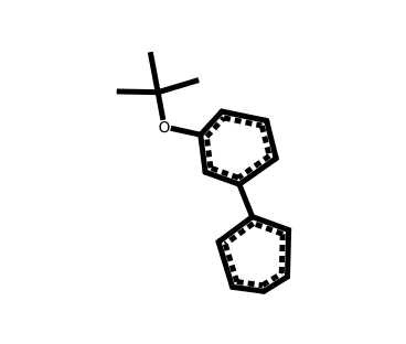 CC(C)(C)Oc1cccc(-c2ccccc2)c1